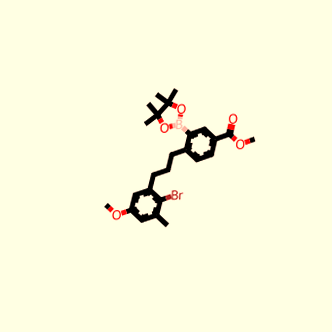 COC(=O)c1ccc(CCCc2cc(OC)cc(C)c2Br)c(B2OC(C)(C)C(C)(C)O2)c1